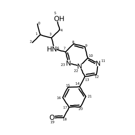 CC(C)C(CO)Nc1ccc2ncc(-c3ccc(C=O)cc3)n2n1